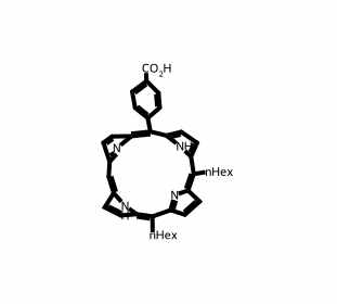 CCCCCCc1c2nc(c(CCCCCC)c3ccc([nH]3)c(-c3ccc(C(=O)O)cc3)c3nc(cc4ccc1[nH]4)C=C3)C=C2